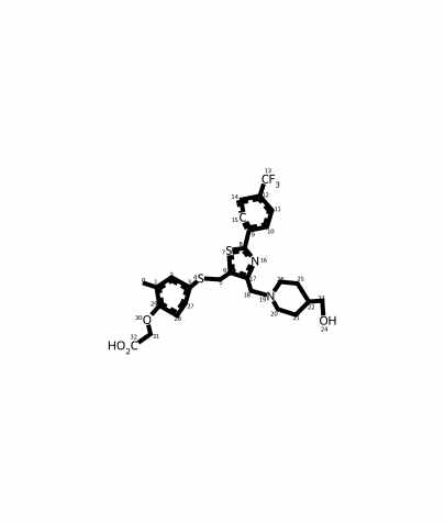 Cc1cc(SCc2sc(-c3ccc(C(F)(F)F)cc3)nc2CN2CCC(CO)CC2)ccc1OCC(=O)O